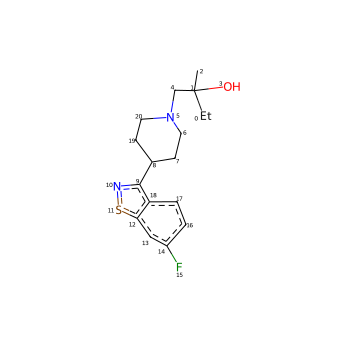 CCC(C)(O)CN1CCC(c2nsc3cc(F)ccc23)CC1